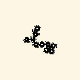 c1ccc(-c2nc(-c3cccc(-c4ccc(-c5cccc6c5-c5ccccc5C65c6ccccc6-c6ccccc65)cc4)c3)nc(-c3ccc4c(c3)oc3ccccc34)n2)cc1